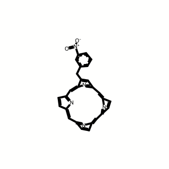 O=[N+]([O-])c1cccc(CC2=CC3=NC2=CC2=NC(=CC4=NC(=CC5=NC(=C3)C=C5)C=C4)C=C2)c1